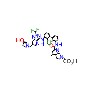 Cc1cc(C(=O)Nc2cccc(-c3cccc(Nc4nc(C(F)F)nc5cc(CN6CC[C@@H](O)C6)cnc45)c3C)c2Cl)nc2c1CCN(CC(=O)O)C2